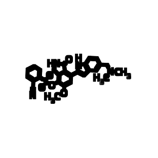 COc1cc(-c2cc3cc(CN(C)C)ccc3[nH]2)c2c(c1OS(=O)(=O)c1ccccc1C#N)CNC2=O